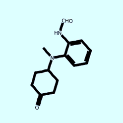 CN(c1ccccc1NC=O)C1CCC(=O)CC1